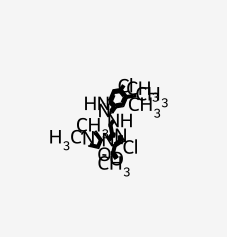 COC(=O)c1c(Cl)nc(CNc2n[nH]c3cc(Cl)c(C(C)(C)C)cc23)n1[C@@H]1CCN(C(C)C)C1